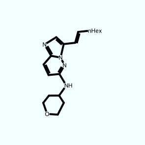 CCCCCCC=Cc1cnc2ccc(NC3CCOCC3)nn12